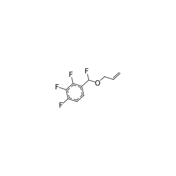 C=CCOC(F)c1ccc(F)c(F)c1F